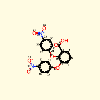 O=C(O)c1cccc(Oc2ccc([N+](=O)[O-])cc2)c1Oc1ccc([N+](=O)[O-])cc1